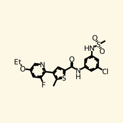 CCOc1cnc(-c2cc(C(=O)Nc3cc(Cl)cc(NS(C)(=O)=O)c3)sc2C)c(F)c1